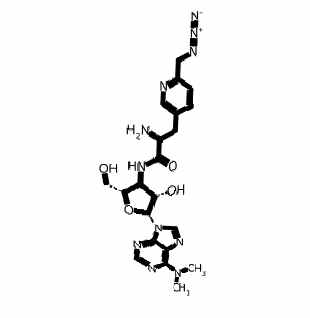 CN(C)c1ncnc2c1ncn2[C@@H]1O[C@H](CO)C(NC(=O)C(N)Cc2ccc(CN=[N+]=[N-])nc2)[C@@H]1O